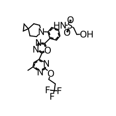 Cc1cc(-c2nnc(-c3ccc(NS(=O)(=O)CCO)cc3N3CCC4(CC3)CC4)o2)nc(OCCC(F)(F)F)n1